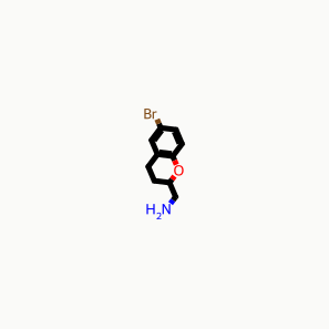 NCC1CCc2cc(Br)ccc2O1